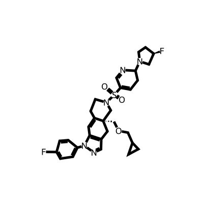 O=S(=O)(C1=CCC(N2CC[C@@H](F)C2)N=C1)N1CCC2=Cc3c(cnn3-c3ccc(F)cc3)C[C@]2(COCC2CC2)C1